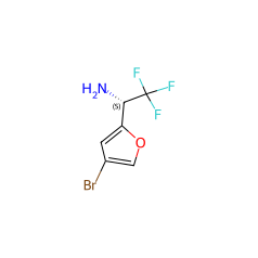 N[C@@H](c1cc(Br)co1)C(F)(F)F